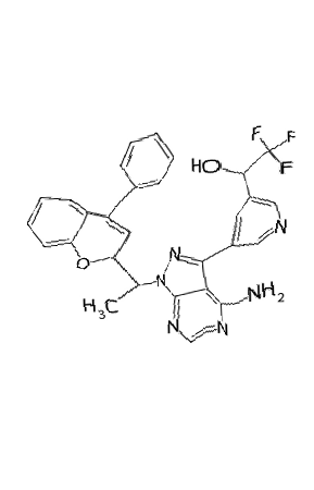 CC(C1C=C(c2ccccc2)c2ccccc2O1)n1nc(-c2cncc(C(O)C(F)(F)F)c2)c2c(N)ncnc21